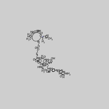 C/C(=C\c1csc(C)n1)C1CC2C(CCCC(C)C(O)C(C)C(=O)C(C)(C)C(O)CC(=O)O1)N2CCOC(=O)OCCSSC[C@H](NC(=O)C(CC(=O)O)NC(=O)C(CCCNC(=N)N)NC(=O)C(CC(=O)O)NC(=O)CCC(NC(=O)c1ccc(NCc2cnc3nc(N)[nH]c(=O)c3n2)cc1)C(=O)O)C(=O)O